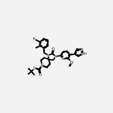 COc1nc(N2CC3(CCN(C(=O)OC(C)(C)C)CC3)N(Cc3cccc(F)c3C)C2=O)ccc1-c1cn[nH]c1